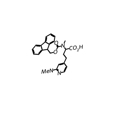 CNc1cc(CCC(C(=O)O)N(C)C(=O)OCC2c3ccccc3-c3ccccc32)ccn1